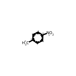 Cc1[c]cc([N+](=O)[O-])cc1